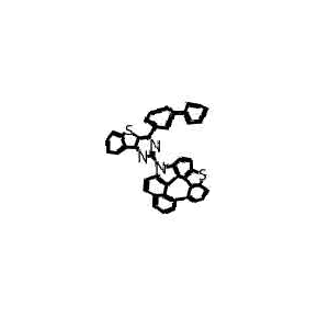 c1ccc(-c2cccc(-c3nc(-n4c5ccc6cccc7c6c5c5c6c(ccc54)sc4cccc-7c46)nc4c3sc3ccccc34)c2)cc1